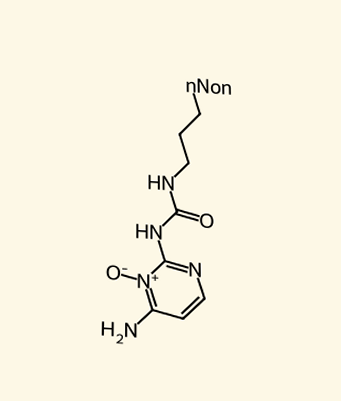 CCCCCCCCCCCCNC(=O)Nc1nccc(N)[n+]1[O-]